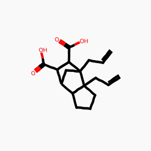 C=CCC12CCCC1C1CC2(CC=C)C(C(=O)O)C1C(=O)O